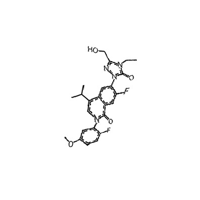 CCn1c(CO)nn(-c2cc3c(C(C)C)cn(-c4cc(OC)ccc4F)c(=O)c3cc2F)c1=O